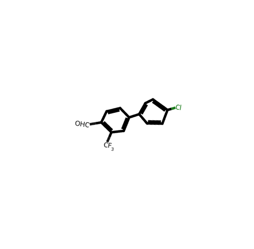 O=Cc1ccc(-c2ccc(Cl)cc2)cc1C(F)(F)F